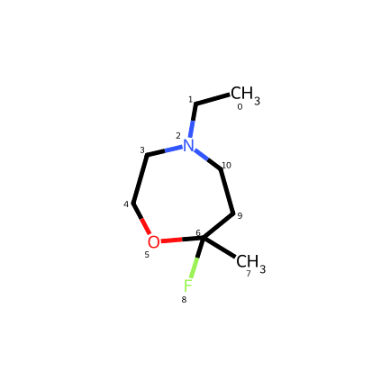 CCN1CCOC(C)(F)CC1